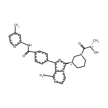 C[C@H](O)C(=O)N1CCC[C@@H](c2nc(-c3ccc(C(=O)Nc4cc(C(F)(F)F)ccn4)cc3)c3c(N)nccn23)C1